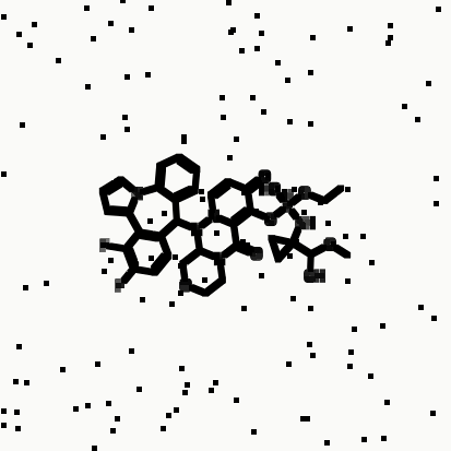 CCO[PH](O)(NC1(C(O)OC)CC1)Oc1c2n(ccc1=O)N(C1c3ccccc3-n3cccc3-c3c1ccc(F)c3F)C1COCCN1C2=O